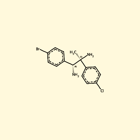 C[C@](N)(c1ccc(Cl)cc1)[C@H](N)c1ccc(Br)cc1